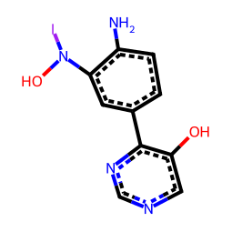 Nc1ccc(-c2ncncc2O)cc1N(O)I